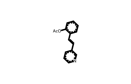 CC(=O)Oc1ccccc1C=Cc1cccnc1